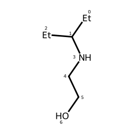 CCC(CC)NCCO